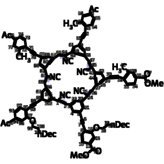 [C-]#[N+]/C1=C\c2cc(C#Cc3ccc(C(=O)OC)cc3OCCCCCCCCCCCC)cc(c2)/C(C#N)=C/c2cc(C#Cc3ccc(C(=O)OC)cc3C)cc(c2)/C(C#N)=C/c2cc(C#Cc3ccc(C(C)=O)cc3C)cc(c2)/C([N+]#[C-])=C/c2cc(C#Cc3ccc(C(C)=O)cc3C)cc(c2)/C([N+]#[C-])=C/c2cc(C#Cc3ccc(C(C)=O)cc3OCCCCCCCCCCCC)cc1c2